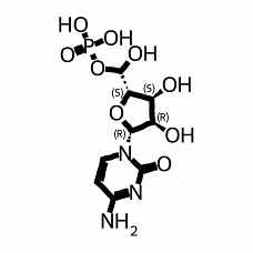 Nc1ccn([C@@H]2O[C@H](C(O)OP(=O)(O)O)[C@@H](O)[C@H]2O)c(=O)n1